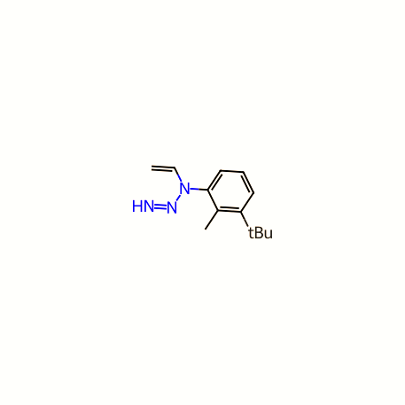 C=CN(N=N)c1cccc(C(C)(C)C)c1C